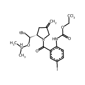 C=C1C[C@@H](C(O[SiH](C)C)C(C)(C)C)N(C(=O)c2cc(I)ccc2NC(=O)OCC(Cl)(Cl)Cl)C1